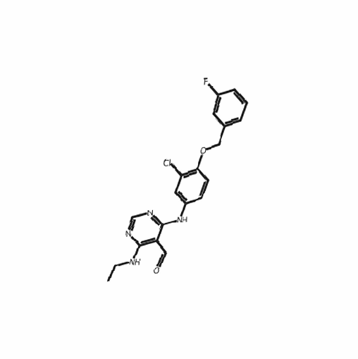 CCNc1ncnc(Nc2ccc(OCc3cccc(F)c3)c(Cl)c2)c1C=O